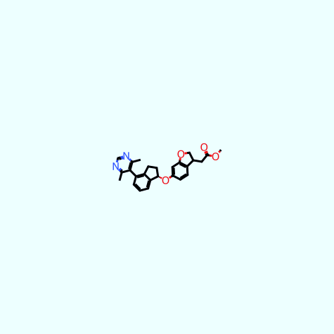 COC(=O)CC1COc2cc(O[C@@H]3CCc4c(-c5c(C)ncnc5C)cccc43)ccc21